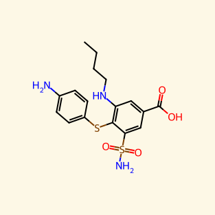 CCCCNc1cc(C(=O)O)cc(S(N)(=O)=O)c1Sc1ccc(N)cc1